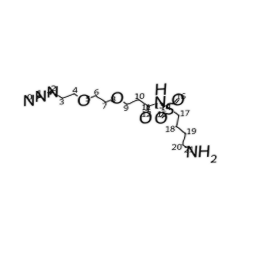 [N-]=[N+]=NCCOCCOCCC(=O)NS(=O)(=O)CCCCN